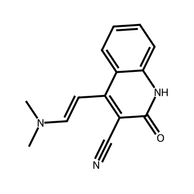 CN(C)C=Cc1c(C#N)c(=O)[nH]c2ccccc12